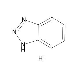 [H+].c1ccc2[nH]nnc2c1